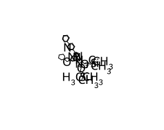 C[Si](C)(C)CCOCN(COCC[Si](C)(C)C)c1cc(OC2CCCCC2)nc2c(-c3ccc(-c4ccccc4)nc3)cnn12